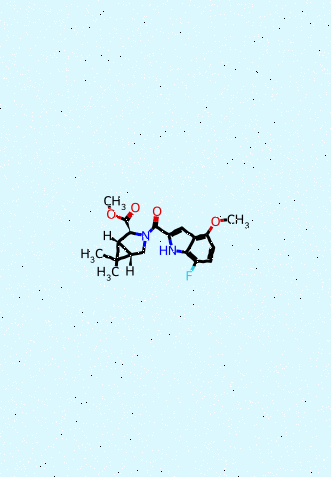 COC(=O)[C@@H]1[C@@H]2[C@H](CN1C(=O)c1cc3c(OC)ccc(F)c3[nH]1)C2(C)C